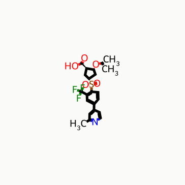 Cc1cc(-c2ccc(S(=O)(=O)[C@H]3C[C@@H](OC(C)C)[C@H](C(=O)O)C3)c(C(F)(F)F)c2)ccn1